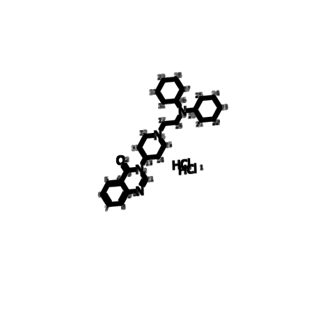 Cl.Cl.O=c1c2ccccc2ncn1C1CCN(CCN(C2CCCCC2)C2CCCCC2)CC1